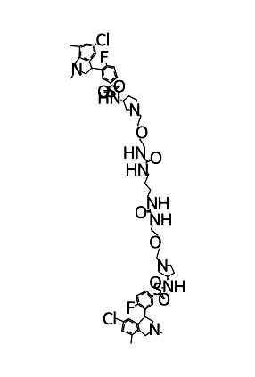 Cc1cc(Cl)cc2c1CN(C)CC2c1cc(S(=O)(=O)N[C@@H]2CCN(CCOCCNC(=O)NCCCCNC(=O)NCCOCCN3CC[C@@H](NS(=O)(=O)c4ccc(F)c(C5CN(C)Cc6c(C)cc(Cl)cc65)c4)C3)C2)ccc1F